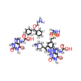 CN(C)CCOC(c1ccccc1)c1ccccc1.CNS(=O)(=O)CCc1ccc2[nH]cc(C3CCN(C)CC3)c2c1.Cn1c(=O)c2c(ncn2CC(=O)O)n(C)c1=O.Cn1c(=O)c2c(ncn2CC(=O)O)n(C)c1=O